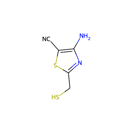 N#Cc1sc(CS)nc1N